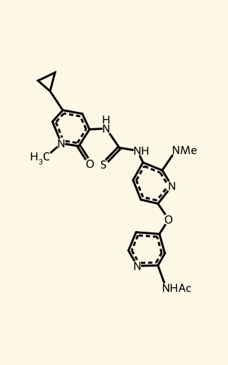 CNc1nc(Oc2ccnc(NC(C)=O)c2)ccc1NC(=S)Nc1cc(C2CC2)cn(C)c1=O